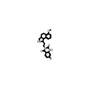 COc1cccc2c1CCC1CNC(CCn3c(=O)[nH]c4cc(F)ccc4c3=O)C21